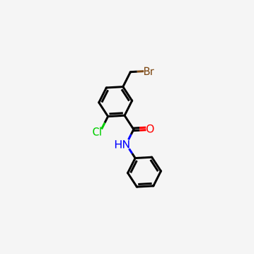 O=C(Nc1ccccc1)c1cc(CBr)ccc1Cl